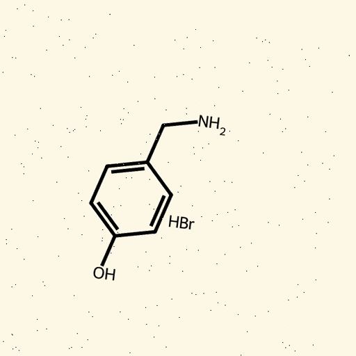 Br.NCc1ccc(O)cc1